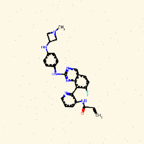 C=CC(=O)Nc1cccnc1-c1c(F)ccc2cnc(Nc3ccc(NC4CN(C)C4)cc3)nc12